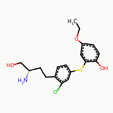 CCOc1ccc(O)c(Sc2ccc(CC[C@H](N)CO)c(Cl)c2)c1